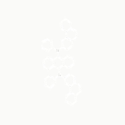 C1=CC2=CCc3ccc(N(c4ccccc4)c4c5ccccc5c(N(c5ccccc5)c5ccc6ccc7ccccc7c6c5)c5ccccc45)cc3C2C=C1